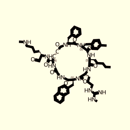 CCCCC[C@@H]1NC(=O)[C@H](Cc2ccc(C)cc2)NC(=O)[C@H](Cc2ccccc2)NC(=O)CC[C@H](C(=O)N[C@H](C=O)CCCCNC)NC(=O)CNC(=O)[C@H](Cc2ccc3ccccc3c2)NC(=O)[C@@H](CCCNC(=N)NC)NC1=O